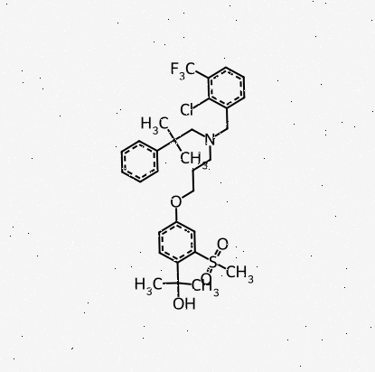 CC(C)(O)c1ccc(OCCCN(Cc2cccc(C(F)(F)F)c2Cl)CC(C)(C)c2ccccc2)cc1S(C)(=O)=O